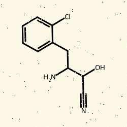 N#CC(O)C(N)Cc1ccccc1Cl